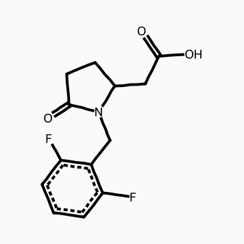 O=C(O)CC1CCC(=O)N1Cc1c(F)cccc1F